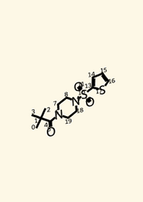 CC(C)(C)C(=O)N1CCN(S(=O)(=O)c2cccs2)CC1